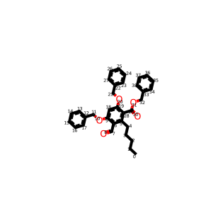 CCCCCc1c(C=O)c(OCc2ccccc2)cc(OCc2ccccc2)c1C(=O)OCc1ccccc1